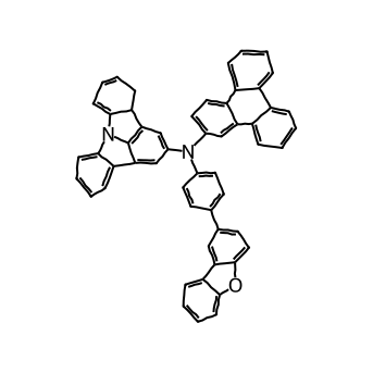 C1=CCC2C(=C1)n1c3ccccc3c3cc(N(c4ccc(-c5ccc6oc7ccccc7c6c5)cc4)c4ccc5c6ccccc6c6ccccc6c5c4)cc2c31